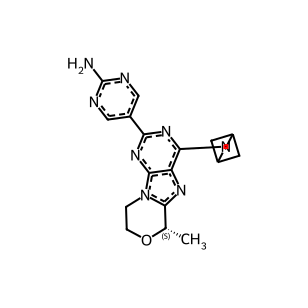 C[C@@H]1OCCn2c1nc1c(N3CC4CC3C4)nc(-c3cnc(N)nc3)nc12